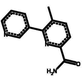 Cc1ccc(C(N)=O)nc1-c1cccnc1